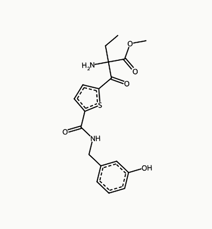 CCC(N)(C(=O)OC)C(=O)c1ccc(C(=O)NCc2cccc(O)c2)s1